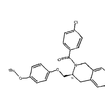 CC(C)(C)Oc1ccc(OC[C@@H]2Cc3ccccc3CN2C(=O)c2ccc(Cl)cc2)cc1